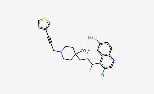 COc1ccc2ncc(Cl)c(C(F)CCC3(C(=O)O)CCN(CC#Cc4ccsc4)CC3)c2c1